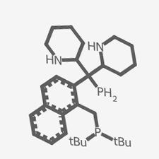 CC(C)(C)P(Cc1c(C(P)(C2CCCCN2)C2CCCCN2)ccc2ccccc12)C(C)(C)C